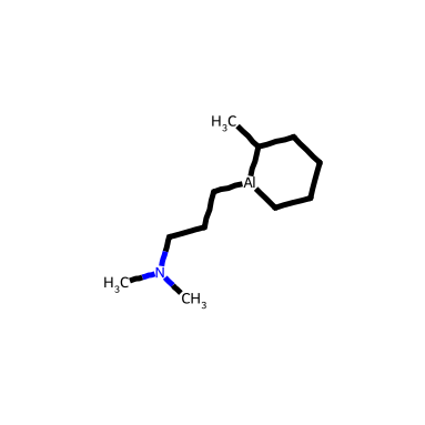 C[CH]1CCC[CH2][Al]1[CH2]CCN(C)C